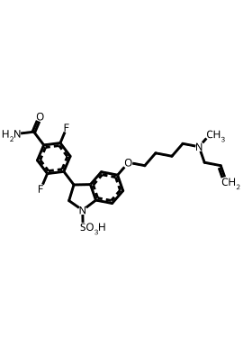 C=CCN(C)CCCCOc1ccc2c(c1)C(c1cc(F)c(C(N)=O)cc1F)CN2S(=O)(=O)O